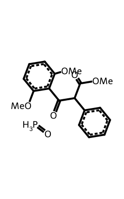 COC(=O)C(C(=O)c1c(OC)cccc1OC)c1ccccc1.O=[PH3]